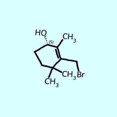 CC1=C(CBr)C(C)(C)CC[C@@H]1O